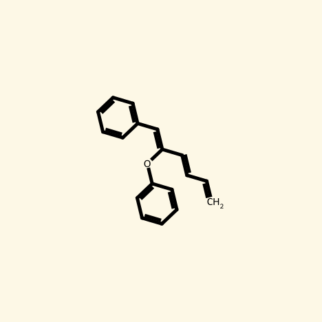 C=CC=CC(=Cc1ccccc1)Oc1ccccc1